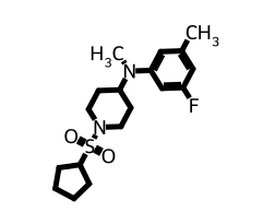 Cc1cc(F)cc(N(C)C2CCN(S(=O)(=O)C3CCCC3)CC2)c1